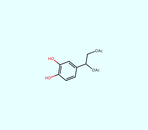 CC(=O)OCC(OC(C)=O)c1ccc(O)c(O)c1